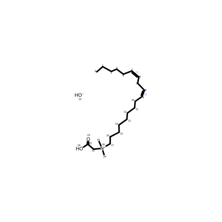 CCCCC/C=C\C/C=C\CCCCCCCC[N+](C)(C)CC(=O)O.[OH-]